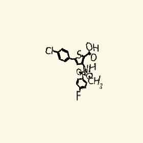 COP(=O)(Nc1cc(-c2ccc(Cl)cc2)sc1C(=O)O)c1ccc(F)cc1